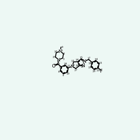 CN1CCN(C(=O)c2cccc(N3Cc4cn(Cc5ccc(F)cc5)nc4C3)c2)CC1